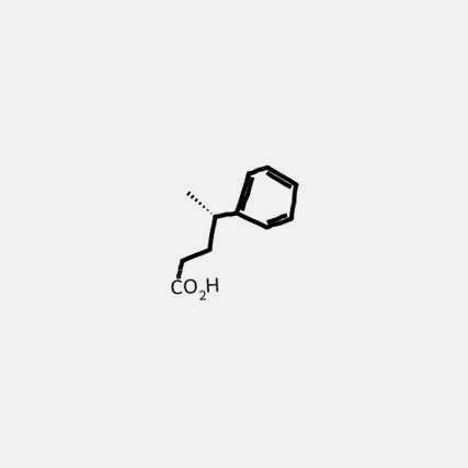 C[C@@H](CCC(=O)O)c1ccccc1